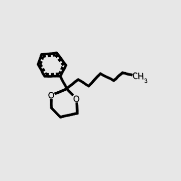 CCCCCCC1(c2ccccc2)OCCCO1